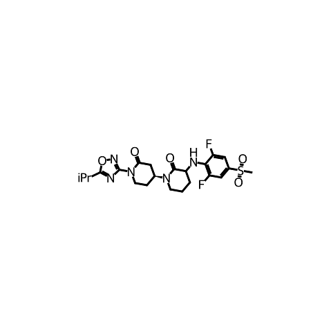 CC(C)c1nc(N2CC[C@H](N3CCCC(Nc4c(F)cc(S(C)(=O)=O)cc4F)C3=O)CC2=O)no1